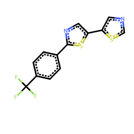 FC(F)(F)c1ccc(-c2ncc(-c3cncs3)s2)cc1